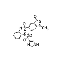 Cn1sc(=O)c2cc(S(=O)(=O)Nc3ccccc3NS(=O)(=O)c3c[nH]cn3)ccc21